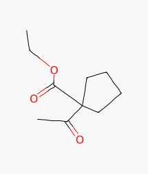 CCOC(=O)C1(C(C)=O)CCCC1